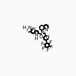 Cc1cc2[nH]c(C(=O)N(Cc3ccc(-c4c(F)c(F)c(F)c(F)c4F)cn3)[C@@H]3CCCc4cccnc43)cc2nc1N